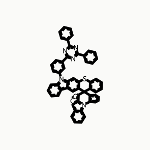 c1ccc(-c2nc(-c3ccccc3)nc(-c3cccc(-n4c5ccccc5c5cc6c(cc54)Sc4ccccc4C64c5ccccc5-n5c6ccccc6c6cccc4c65)c3)n2)cc1